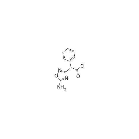 Nc1nc(C(C(=O)Cl)c2ccccc2)no1